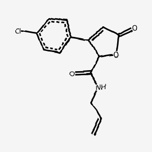 C=CCNC(=O)C1OC(=O)C=C1c1ccc(Cl)cc1